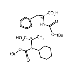 CC(C)(C)OC(=O)N[C@H](Cc1ccccc1)C(=O)O.C[C@@H](C(=O)O)N(C(=O)OC(C)(C)C)C1CCCCC1